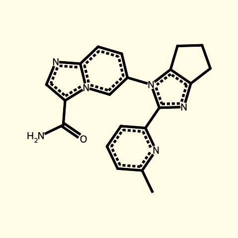 Cc1cccc(-c2nc3c(n2-c2ccc4ncc(C(N)=O)n4c2)CCC3)n1